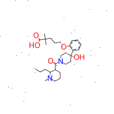 CCCC1C(C(=O)N2CCC(O)(c3ccccc3OCCCC(C)(C)C(=O)O)CC2)CCCN1C